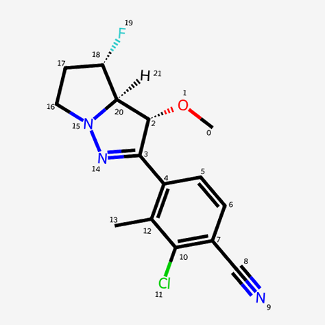 CO[C@@H]1C(c2ccc(C#N)c(Cl)c2C)=NN2CC[C@H](F)[C@@H]12